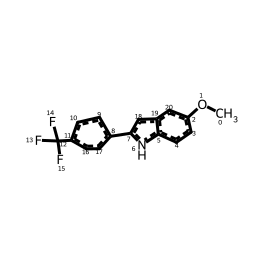 COc1ccc2[nH]c(-c3ccc(C(F)(F)F)cc3)cc2c1